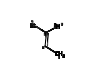 [2H]C(=CC)CC